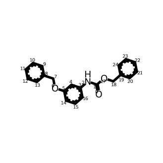 O=C(Nc1[c]c(OCc2ccccc2)ccc1)OCc1ccccc1